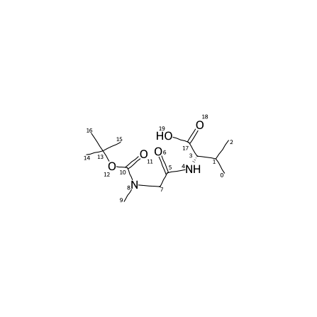 CC(C)[C@H](NC(=O)CN(C)C(=O)OC(C)(C)C)C(=O)O